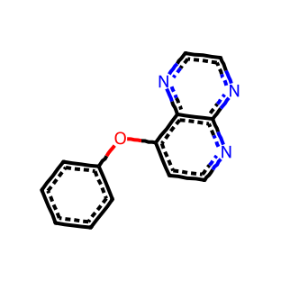 c1ccc(Oc2ccnc3nccnc23)cc1